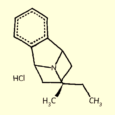 CC[C@@H](C)N1C2CCCC1c1ccccc12.Cl